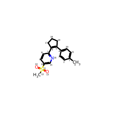 Cc1ccc(C2=C(c3ccc(S(C)(=O)=O)cn3)CCC2)cc1